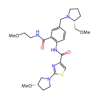 COCCNC(=O)c1cc(CN2CCC[C@@H]2COC)ccc1NC(=O)c1csc(N2CC[C@H](OC)C2)n1